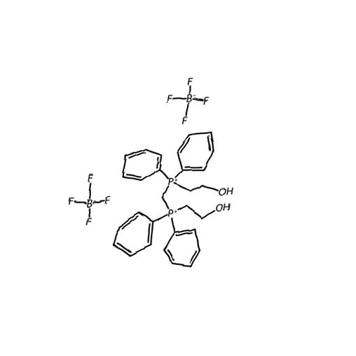 F[B-](F)(F)F.F[B-](F)(F)F.OCC[P+](C[P+](CCO)(c1ccccc1)c1ccccc1)(c1ccccc1)c1ccccc1